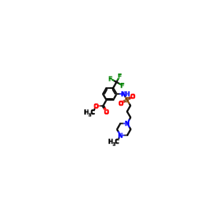 COC(=O)c1ccc(C(F)(F)F)c(NS(=O)(=O)CCCN2CCN(C)CC2)c1